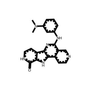 CN(C)c1cccc(Nc2nc3c4cc[nH]c(=O)c4[nH]c3c3ccncc23)c1